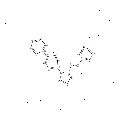 c1ccc(OCc2nccn2-c2ccc(-c3ccccc3)cc2)cc1